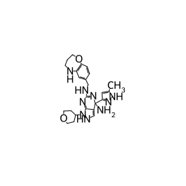 Cc1cc(C2(N)N=C(NCc3ccc4c(c3)NCCCO4)N=C3C2=CNN3C2CCOCC2)n[nH]1